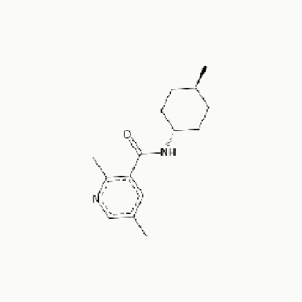 Cc1cnc(C)c(C(=O)N[C@H]2CC[C@H](C)CC2)c1